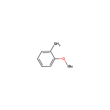 CC(C)(C)Oc1ccccc1[SiH3]